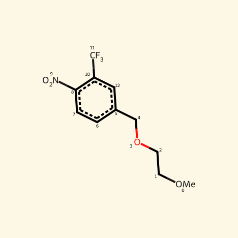 COCCOCc1ccc([N+](=O)[O-])c(C(F)(F)F)c1